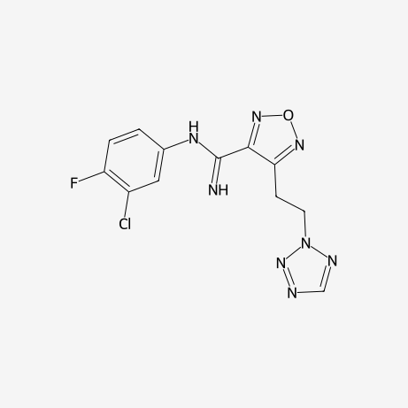 N=C(Nc1ccc(F)c(Cl)c1)c1nonc1CCn1ncnn1